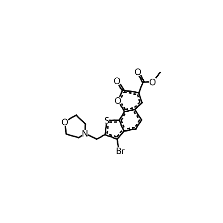 COC(=O)c1cc2ccc3c(Br)c(CN4CCOCC4)sc3c2oc1=O